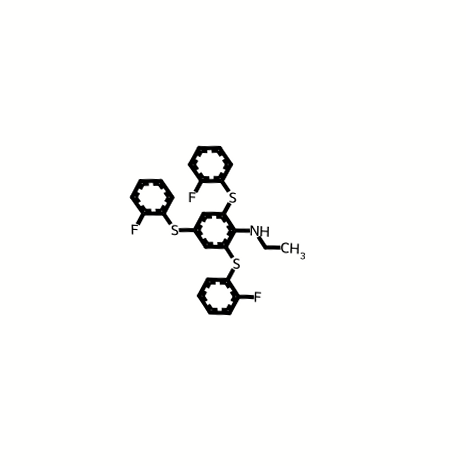 CCNc1c(Sc2ccccc2F)cc(Sc2ccccc2F)cc1Sc1ccccc1F